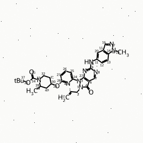 C=CCn1c(=O)c2cnc(Nc3ccc4c(cnn4C)c3)nc2n1-c1cccc(OC2CCN(C(=O)OC(C)(C)C)C(C)C2)n1